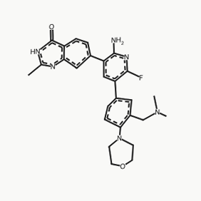 Cc1nc2cc(-c3cc(-c4ccc(N5CCOCC5)c(CN(C)C)c4)c(F)nc3N)ccc2c(=O)[nH]1